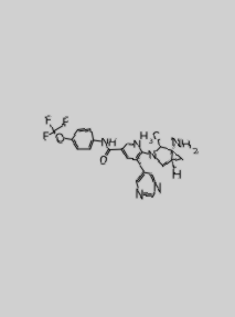 CC1N(c2ncc(C(=O)Nc3ccc(OC(F)(F)F)cc3)cc2-c2cncnc2)C[C@H]2C[C@]12N